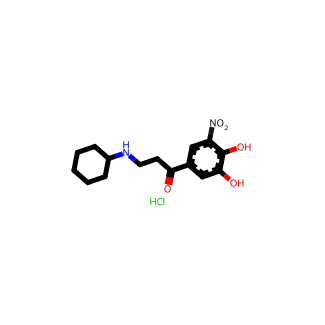 Cl.O=C(CCNC1CCCCC1)c1cc(O)c(O)c([N+](=O)[O-])c1